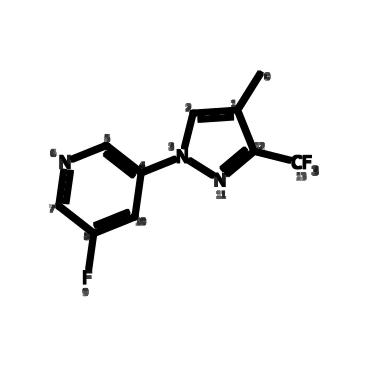 Cc1cn(-c2cncc(F)c2)nc1C(F)(F)F